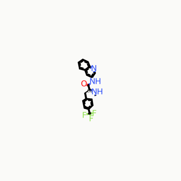 CN[C@@H](Cc1ccc(C(F)(F)F)cc1)C(=O)Nc1cnc2ccccc2c1